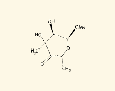 CO[C@H]1O[C@H](C)C(=O)[C@@](C)(O)[C@H]1O